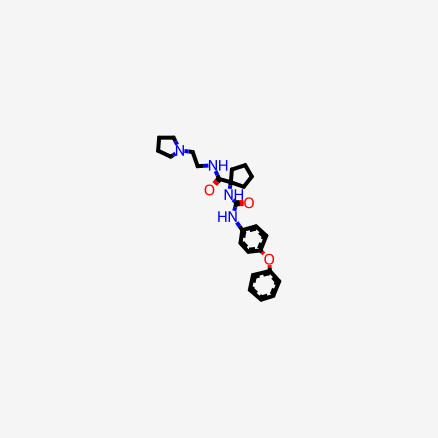 O=C(Nc1ccc(Oc2ccccc2)cc1)NC1(C(=O)NCCN2CCCC2)CCCC1